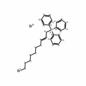 BrCCCCCCCC=CC[P+](c1ccccc1)(c1ccccc1)c1ccccc1.[Br-]